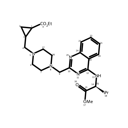 CCOC(=O)C1CC1CN1CCN(Cc2nc(N[C@H](C(=O)OC)C(C)C)c3ccccc3n2)CC1